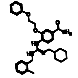 Cc1ccccc1CNC(=NCC1CCCCC1)Nc1ccc(C(N)=O)cc1OCCOc1ccccc1